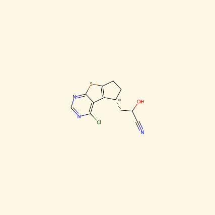 N#CC(O)C[C@H]1CCc2sc3ncnc(Cl)c3c21